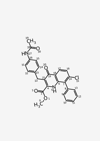 COC(=O)c1[nH]c2c(-c3ccccc3)c(Cl)ccc2c(=O)c1Cc1ccc(NC(C)=O)cc1